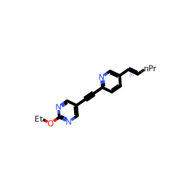 CCC/C=C/c1ccc(C#Cc2cnc(OCC)nc2)nc1